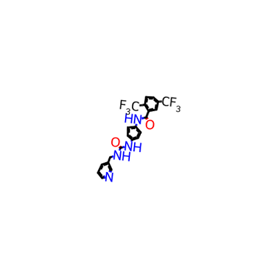 O=C(NCc1cccnc1)Nc1ccc(NC(=O)c2cc(C(F)(F)F)ccc2C(F)(F)F)cc1